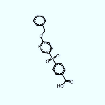 O=C(O)c1ccc(S(=O)(=O)c2ccc(OCc3ccccc3)nc2)cc1